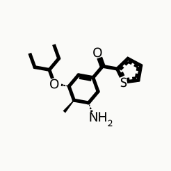 CCC(CC)O[C@@H]1C=C(C(=O)c2cccs2)C[C@H](N)[C@H]1C